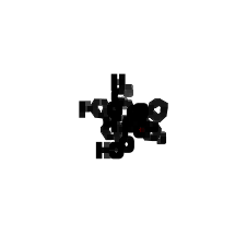 C[C@H](CCO[Si](c1ccccc1)(c1ccccc1)C(C)(C)C)Oc1ccc(F)cc1-c1ccc(C(=O)O)c(F)c1